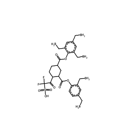 BCc1ccc(OC(=O)C2CC(C(=O)Oc3c(CB)cc(CB)cc3CB)CCC2C(=O)C(F)(F)S(=O)(=O)O)c(CB)c1